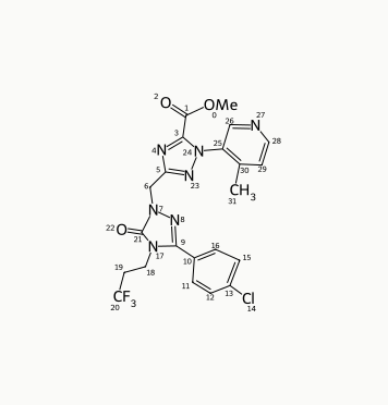 COC(=O)c1nc(Cn2nc(-c3ccc(Cl)cc3)n(CCC(F)(F)F)c2=O)nn1-c1cnccc1C